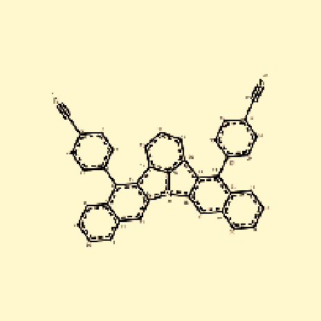 N#Cc1ccc(-c2c3ccccc3cc3c2c2cccc4c5c(-c6ccc(C#N)cc6)c6ccccc6cc5n3c24)cc1